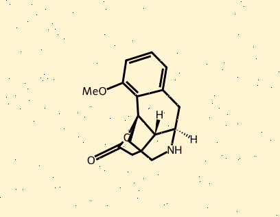 COc1cccc2c1[C@]13CCN[C@H](C2)[C@@H]1CCC(=O)C3